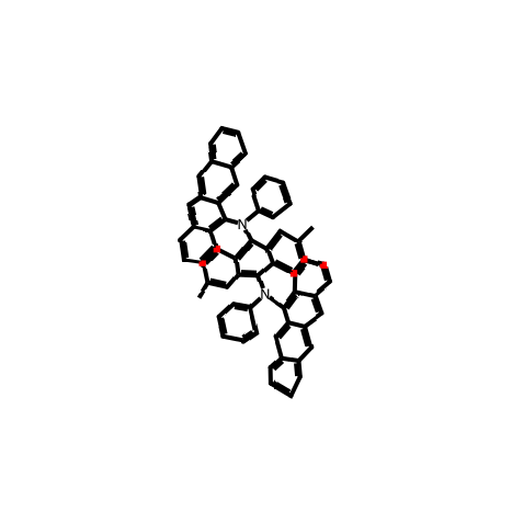 Cc1ccc2c(N(c3ccccc3)c3c4ccccc4cc4cc5ccccc5cc34)c3cc(C)c(C)cc3c(N(c3ccccc3)c3c4ccccc4cc4cc5ccccc5cc34)c2c1